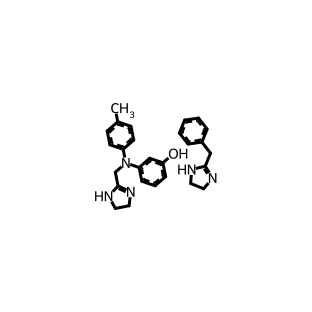 Cc1ccc(N(CC2=NCCN2)c2cccc(O)c2)cc1.c1ccc(CC2=NCCN2)cc1